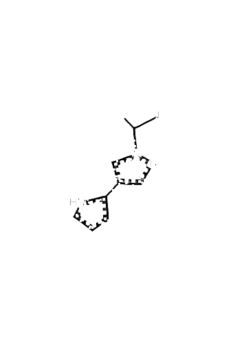 FC(F)n1cc(-c2ccc[nH]2)cn1